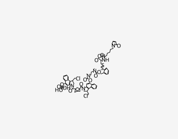 CN(CCN(C)C(=O)Oc1cc2c(c3ccccc13)C(CCl)CN2C(=O)C12CC3(C(=O)N4CC(CCl)c5c4cc(OP(=O)(O)O)c4ccccc54)CC13C2)C(=O)OCc1ccccc1SSCC(NC(=O)CCCCCN1CC=CC1=O)C(=O)O